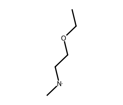 CCOCC[N]C